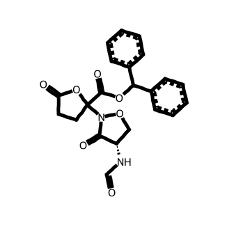 O=CN[C@H]1CON(C2(C(=O)OC(c3ccccc3)c3ccccc3)CCC(=O)O2)C1=O